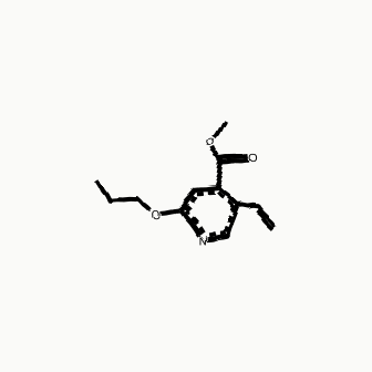 C=Cc1cnc(OCCC)cc1C(=O)OC